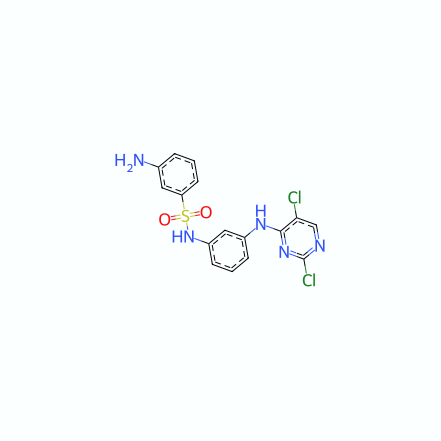 Nc1cccc(S(=O)(=O)Nc2cccc(Nc3nc(Cl)ncc3Cl)c2)c1